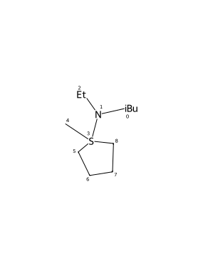 CCC(C)N(CC)S1(C)CCCC1